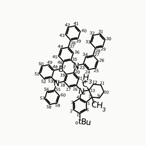 CC(C)(C)c1ccc2c(c1)C1(C)CCCCC1(C)N2c1cc2c3c(c1)N(c1cccc(-c4ccccc4)c1)c1cc(-c4ccccc4)ccc1B3c1ccccc1N2c1ccccc1